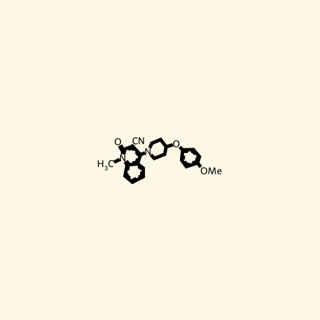 COc1ccc(OC2CCN(c3c(C#N)c(=O)n(C)c4ccccc34)CC2)cc1